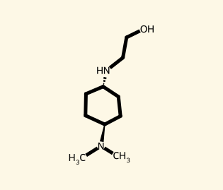 CN(C)[C@H]1CC[C@H](NCCO)CC1